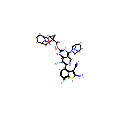 N#Cc1c(N)sc2c(F)ccc(-c3ncc4c(N5CC6CCC(C5)N6)nc(OCC5(CN6C7CCCC6COC7)CC5)nc4c3F)c12